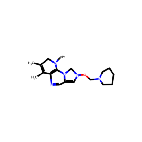 CCCN1CC(C)=C(C)C2=C1N1CN(OCN3CCCCC3)C=C1C=N2